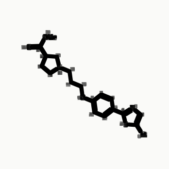 CCc1cnc(-c2ccc(OCCCN3CCC(C(=O)OC)C3)cc2)s1